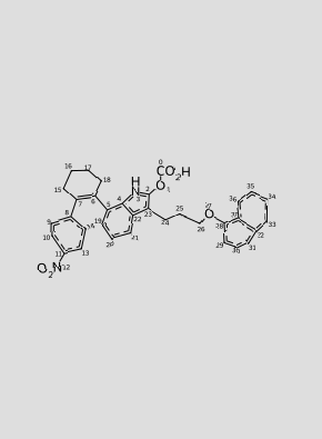 O=C(O)Oc1[nH]c2c(C3=C(c4ccc([N+](=O)[O-])cc4)CCCC3)cccc2c1CCCOc1cccc2ccccc12